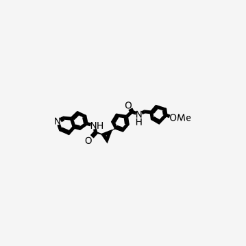 COc1ccc(CNC(=O)c2ccc([C@@H]3C[C@H]3C(=O)Nc3ccc4cnccc4c3)cc2)cc1